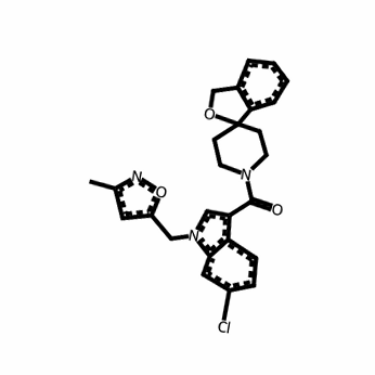 Cc1cc(Cn2cc(C(=O)N3CCC4(CC3)OCc3ccccc34)c3ccc(Cl)cc32)on1